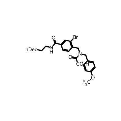 CCCCCCCCCCCCNC(=O)c1ccc(CN(Cc2ccc(OC(F)(F)F)cc2)C(=O)C(=O)O)c(Br)c1